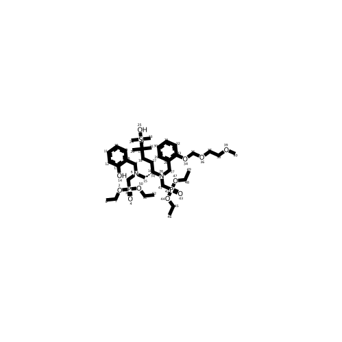 CCOP(=O)(CN(Cc1ccccc1O)C[C@H](CCC(C)(C)[Si](C)(C)O)N(Cc1ccccc1OCOCCOC)CP(=O)(OCC)OCC)OCC